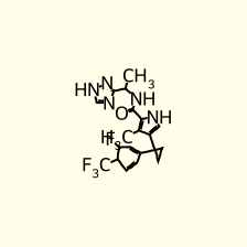 Cc1c(C2(C3=CC(F)C(C(F)(F)F)C=C3)CC2)c[nH]c1C(=O)NC(C)c1nc[nH]n1